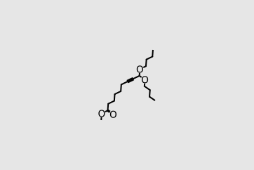 CCCCOC(C#CCCCCCC(=O)OC)OCCCC